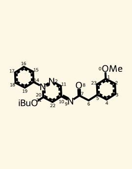 COc1cccc(CC(=O)N=c2cnn(-c3ccccc3)c(OCC(C)C)c2)c1